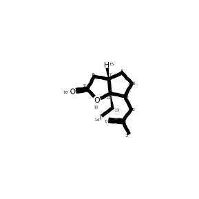 C=C(C)CC1CC[C@H]2CC(=O)O[C@@]12CI